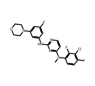 CN(c1ccnc(Nc2cc(F)cc(N3CCOCC3)c2)n1)c1ccc(F)c(Cl)c1F